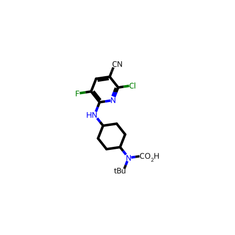 CC(C)(C)N(C(=O)O)C1CCC(Nc2nc(Cl)c(C#N)cc2F)CC1